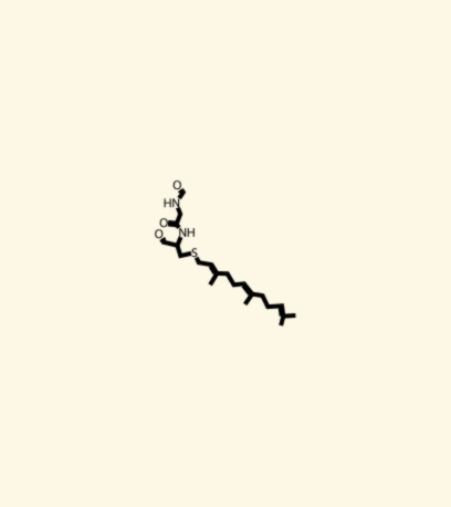 CC(C)=CCC/C(C)=C/CC/C(C)=C/CSCC(C=O)NC(=O)CNC=O